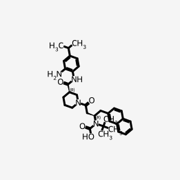 CC(C)c1ccc(NC(=O)[C@@H]2CCCN(C(=O)C[C@@H](Cc3ccc4ccccc4c3)N(C(=O)O)C(C)(C)C)C2)c(N)c1